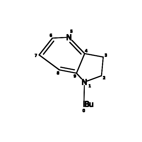 CCC(C)N1CCc2ncccc21